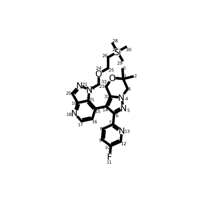 CC1(C)Cn2nc(-c3ccc(F)cn3)c(-c3ccnc4cnn(COCC[Si](C)(C)C)c34)c2CO1